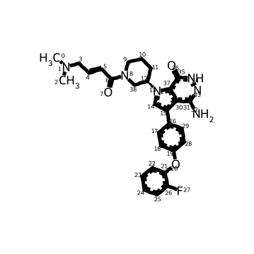 CN(C)C/C=C/C(=O)N1CCC[C@@H](n2cc(-c3ccc(Oc4ccccc4F)cc3)c3c(N)n[nH]c(=O)c32)C1